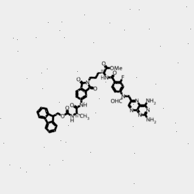 COC(=O)[C@H](CCCN1C(=O)c2ccc(NC(=O)[C@H](C)NC(=O)OCC3c4ccccc4-c4ccccc43)cc2C1=O)NC(=O)c1ccc(N(C=O)Cc2cnc3nc(N)nc(N)c3n2)cc1F